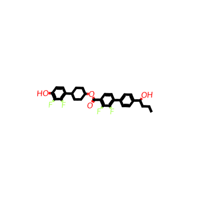 CCCC(O)c1ccc(-c2ccc(C(=O)OC3CCC(c4ccc(O)c(F)c4F)CC3)c(F)c2F)cc1